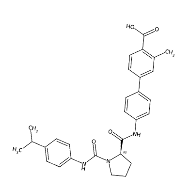 Cc1cc(-c2ccc(NC(=O)[C@H]3CCCN3C(=O)Nc3ccc(C(C)C)cc3)cc2)ccc1C(=O)O